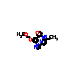 CCc1nn(C2CCOCC2)c2nc(-c3ccnn3-c3cccc(OCCOC)c3)ccc12